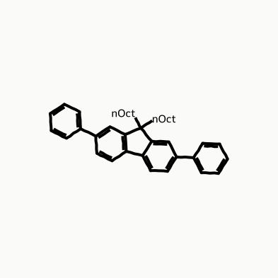 CCCCCCCCC1(CCCCCCCC)c2cc(-c3ccccc3)ccc2-c2ccc(-c3ccccc3)cc21